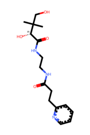 CC(C)(CO)[C@@H](O)C(=O)NCCNC(=O)CCc1ccccn1